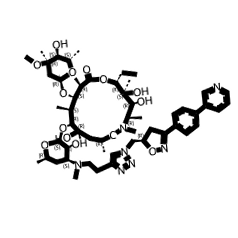 CC[C@H]1OC(=O)[C@H](C)[C@@H](O[C@H]2C[C@@](C)(OC)[C@@H](O)[C@H](C)O2)[C@H](C)[C@@H](O[C@@H]2O[C@H](C)C[C@H](N(C)CCc3cn(C[C@H]4CC(c5ccc(-c6cccnc6)cc5)=NO4)nn3)[C@H]2O)[C@](C)(O)C[C@@H](C)CN(C)[C@H](C)[C@@H](O)[C@]1(C)O